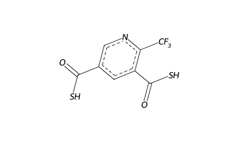 O=C(S)c1cnc(C(F)(F)F)c(C(=O)S)c1